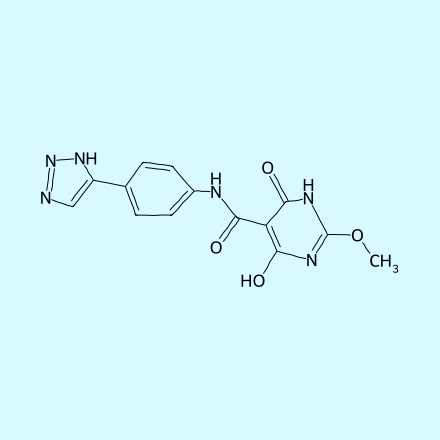 COc1nc(O)c(C(=O)Nc2ccc(-c3cnn[nH]3)cc2)c(=O)[nH]1